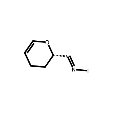 I/N=C/[C@@H]1CCC=CO1